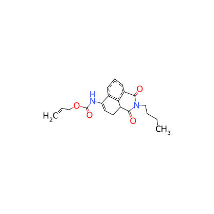 C=CCOC(=O)NC1=CCC2C(=O)N(CCCC)C(=O)c3cccc1c32